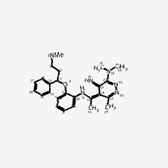 CNCCC(Oc1ccccc1N/C(C)=C1\C(=N)C(N(C)C)=NN=C1C)c1ccccc1